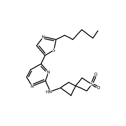 CCCCCc1ncc(-c2ccnc(NC3CC4(C3)CS(=O)(=O)C4)n2)s1